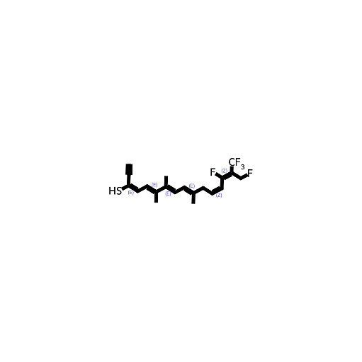 C#C\C(S)=C/C=C(C)/C(C)=C/C=C(\C)C/C=C\C(F)=C(/CF)C(F)(F)F